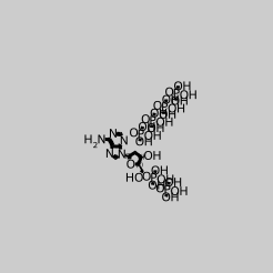 Nc1ncnc2c1ncn2[C@H]1C[C@H](O)[C@@H](CO)O1.O=P(O)(O)O.O=P(O)(O)O.O=P(O)(O)O.O=P(O)(O)O.O=P(O)(O)O.O=P(O)(O)O